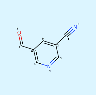 N#Cc1cncc(C=O)c1